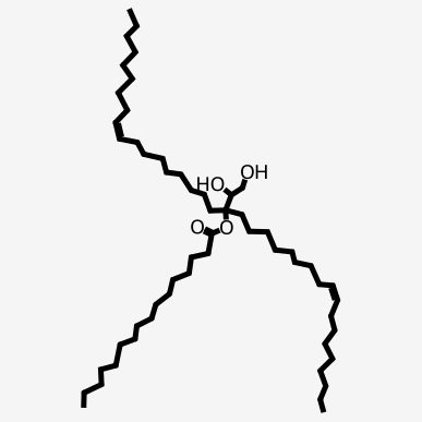 CCCCCCCC/C=C\CCCCCCCCC(CCCCCCCC/C=C\CCCCCCCC)(OC(=O)CCCCCCCCCCCCCCC)C(O)CO